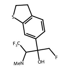 CNC(C(F)(F)F)C(O)(CF)c1ccc2c(c1)SCC2